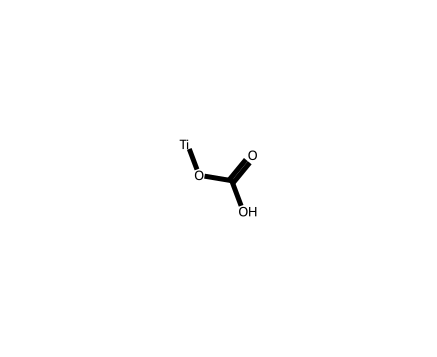 O=C(O)[O][Ti]